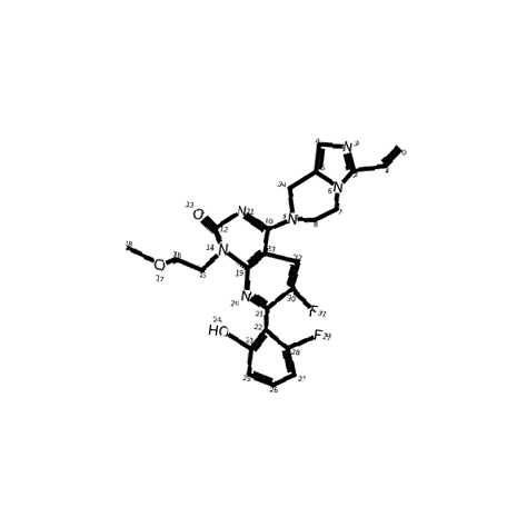 C=Cc1ncc2n1CCN(c1nc(=O)n(CCOC)c3nc(-c4c(O)cccc4F)c(F)cc13)C2